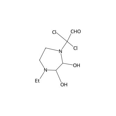 CCN1CCN(C(Cl)(Cl)C=O)C(O)C1O